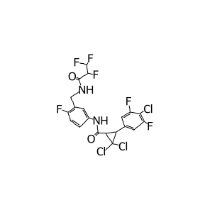 O=C(NCc1cc(NC(=O)C2C(c3cc(F)c(Cl)c(F)c3)C2(Cl)Cl)ccc1F)C(F)C(F)F